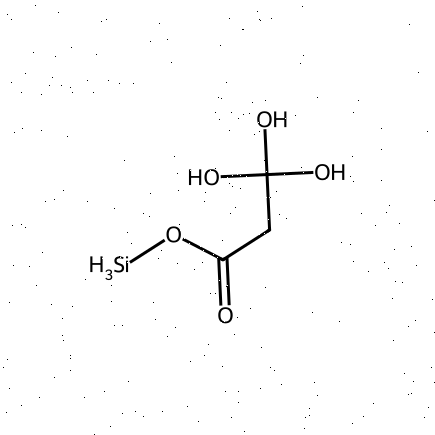 O=C(CC(O)(O)O)O[SiH3]